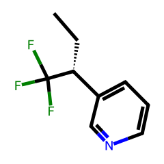 CC[C@H](c1cccnc1)C(F)(F)F